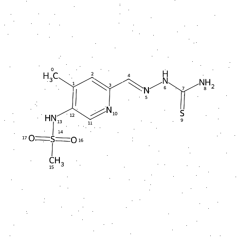 Cc1cc(C=NNC(N)=S)ncc1NS(C)(=O)=O